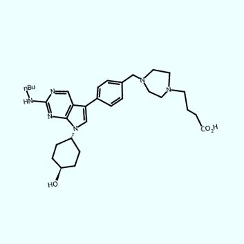 CCCCNc1ncc2c(-c3ccc(CN4CCN(CCCC(=O)O)CC4)cc3)cn([C@H]3CC[C@H](O)CC3)c2n1